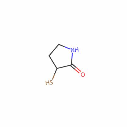 O=C1NCCC1S